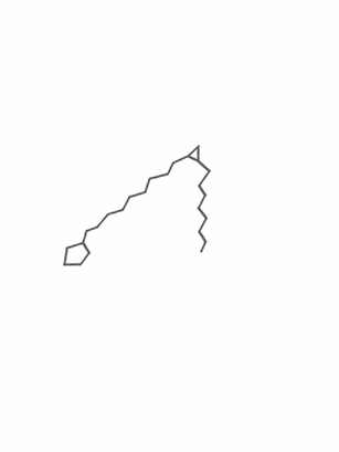 CCCCCCCCC1CC1CCCCCCCCCC1CCCC1